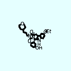 CCOc1ccc2[nH]c3c(c2c1)C[C@@]1(C)C(=O)N(CCCC2CCCOCC2)C(=O)N1[C@@H]3c1cccc(O)c1